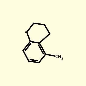 Cc1cccc2c1CCC[C]2